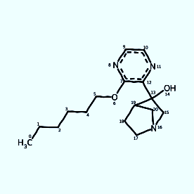 CCCCCCOc1nccnc1C1(O)CN2CCC1C2